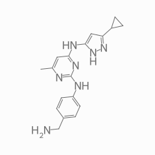 Cc1cc(Nc2cc(C3CC3)n[nH]2)nc(Nc2ccc(CN)cc2)n1